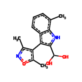 Cc1noc(C)c1-c1c(C(O)O)[nH]c2c(C)cccc12